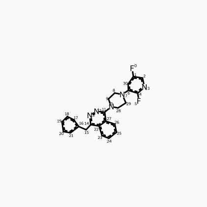 Fc1cnc(F)c(N2CCN(c3nnc(Cc4ccccc4)c4ccccc34)CC2)c1